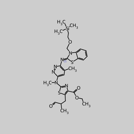 CCOC(=O)c1nc(N(C)c2cc(C)c(/N=c3\sc4ccccc4n3COCC[Si](C)(C)C)nn2)sc1CC(C)C=O